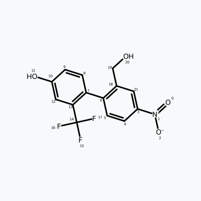 O=[N+]([O-])c1ccc(-c2ccc(O)cc2C(F)(F)F)c(CO)c1